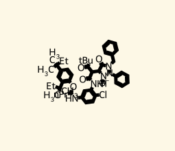 CCCC(Nc1ccc(Cl)c(NC(=O)C(C(=O)C(C)(C)C)C2C(=O)N(Cc3ccccc3)N(c3ccccc3)[NH+]2[O-])c1)Oc1ccc(C(C)(C)CC)cc1C(C)(C)CC